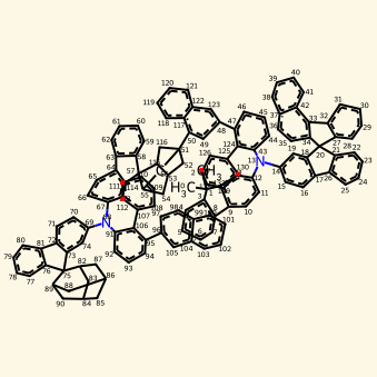 CC1(C)c2ccccc2-c2ccc(N(c3ccc4c(c3)C3(c5ccccc5-4)c4ccccc4-c4c3ccc3ccccc43)c3cccc(-c4cc(C56CC7CC(C5)C5(c8ccccc8-c8ccc(N(c9ccc%10c(c9)C9(c%11ccccc%11-%10)C%10CC%11CC(C%10)CC9C%11)c9cccc(-c%10ccc%11ccccc%11c%10)c9-c9ccccc9)cc85)C7C6)c5ccccc5c4)c3-c3ccccc3)cc21